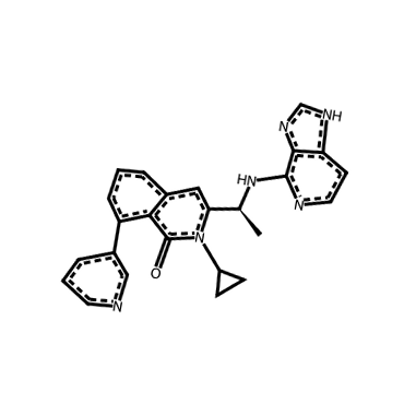 C[C@H](Nc1nccc2[nH]cnc12)c1cc2cccc(-c3cccnc3)c2c(=O)n1C1CC1